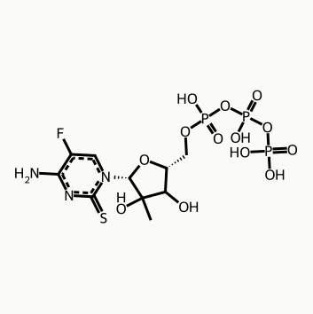 CC1(O)C(O)[C@@H](COP(=O)(O)OP(=O)(O)OP(=O)(O)O)O[C@H]1n1cc(F)c(N)nc1=S